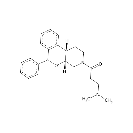 CN(C)CCC(=O)N1CC[C@H]2c3ccccc3C(c3ccccc3)O[C@H]2C1